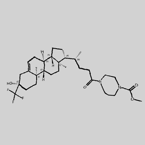 COC(=O)N1CCN(C(=O)CC[C@@H](C)[C@H]2CC[C@H]3[C@@H]4CC=C5C[C@](O)(C(F)(F)F)CC[C@]5(C)[C@H]4CC[C@]23C)CC1